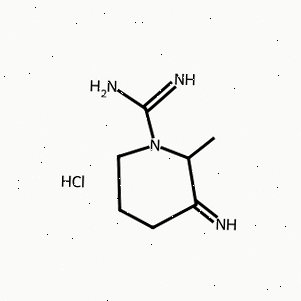 CC1C(=N)CCCN1C(=N)N.Cl